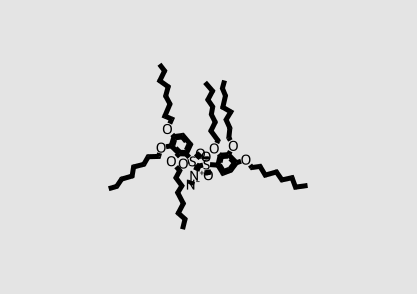 CCCCCCCCOc1ccc(S(=O)(=O)C(=[N+]=[N-])S(=O)(=O)c2ccc(OCCCCCCCC)c(OCCCCCCCC)c2OCCCCCCCC)c(OCCCCCCCC)c1OCCCCCCCC